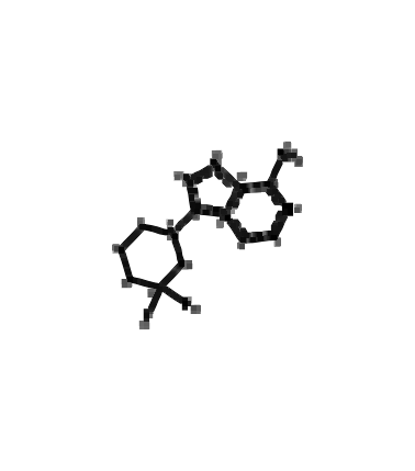 Nc1nccn2c(N3CCCC(F)(F)C3)nnc12